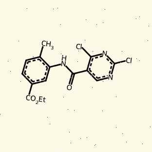 CCOC(=O)c1ccc(C)c(NC(=O)c2cnc(Cl)nc2Cl)c1